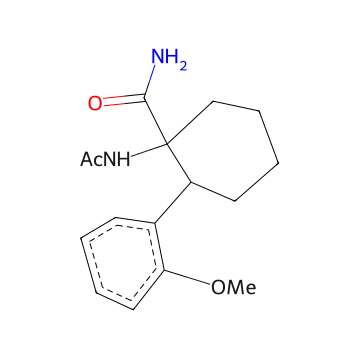 COc1ccccc1C1CCCCC1(NC(C)=O)C(N)=O